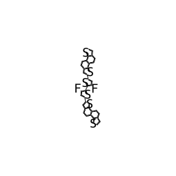 Fc1cc(-c2cc3ccc4c(ccc5ccsc54)c3s2)sc1-c1sc(-c2cc3ccc4c(ccc5ccsc54)c3s2)cc1F